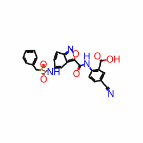 N#Cc1ccc(NC(=O)c2onc3ccc(NS(=O)(=O)Cc4ccccc4)cc23)c(C(=O)O)c1